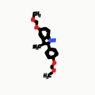 COCOc1ccc(-c2[nH]c3ccc(OCOC)cc3c2C)cc1